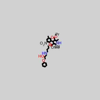 COC(=O)C1=C(C#N)NC(C)=C(C(=O)OC(C)C)C1c1cc(C)cc([N+](=O)[O-])c1OCCCCNCC(O)COc1ccccc1